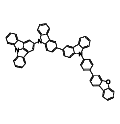 c1ccc2c(c1)oc1cc(-c3ccc(-n4c5ccccc5c5cc(-c6ccc7c(c6)c6ccccc6n7-c6cc7c8ccccc8n8c9ccccc9c(c6)c78)ccc54)cc3)ccc12